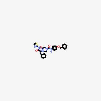 O=C(Nc1nccs1)[C@H](CC1CCCCC1)N1CCN(C(=O)Nc2ccc(OCc3ccccc3)cc2)CC1=O